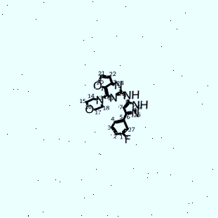 Fc1cccc(-c2cc(Nc3nc(N4CCOCC4)c4occc4n3)[nH]n2)c1